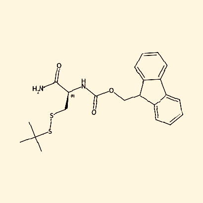 CC(C)(C)SSC[C@H](NC(=O)OCC1c2ccccc2-c2ccccc21)C(N)=O